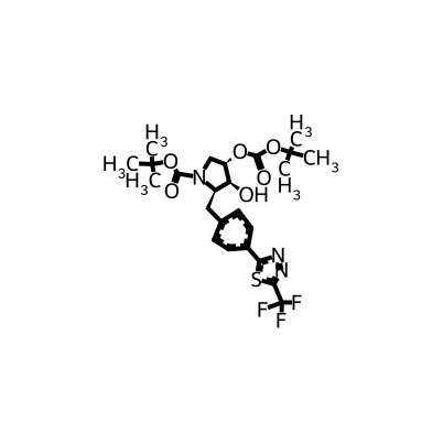 CC(C)(C)OC(=O)O[C@H]1CN(C(=O)OC(C)(C)C)[C@H](Cc2ccc(-c3nnc(C(F)(F)F)s3)cc2)[C@@H]1O